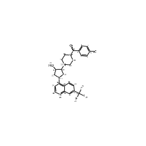 O=C(c1ccc(Cl)cc1)N1CCN(C2CN(c3ccnc4cc(C(F)(F)F)ccc34)CC2O)CC1